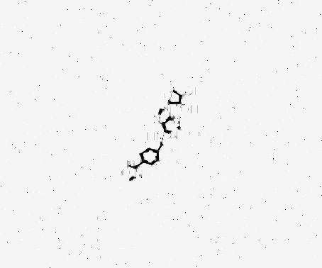 C[C@H]1O[C@@H](n2cnc3c(NCc4ccc(-c5ncon5)cc4)ncnc32)[C@H](O)[C@@H]1O